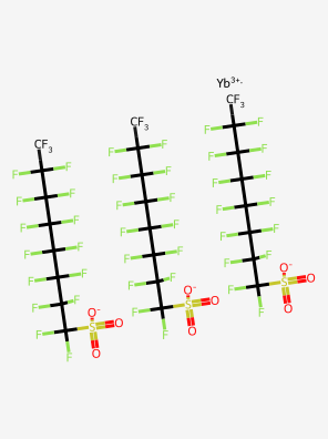 O=S(=O)([O-])C(F)(F)C(F)(F)C(F)(F)C(F)(F)C(F)(F)C(F)(F)C(F)(F)C(F)(F)F.O=S(=O)([O-])C(F)(F)C(F)(F)C(F)(F)C(F)(F)C(F)(F)C(F)(F)C(F)(F)C(F)(F)F.O=S(=O)([O-])C(F)(F)C(F)(F)C(F)(F)C(F)(F)C(F)(F)C(F)(F)C(F)(F)C(F)(F)F.[Yb+3]